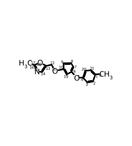 Cc1ccc(Oc2cccc(OCc3cnc(C)o3)c2)cc1